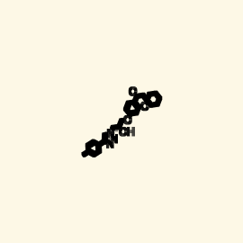 Cc1ccc(-c2cn(C[C@@H](O)COc3ccc4c(c3)OC3(CCCCC3)CC4=O)nn2)cc1